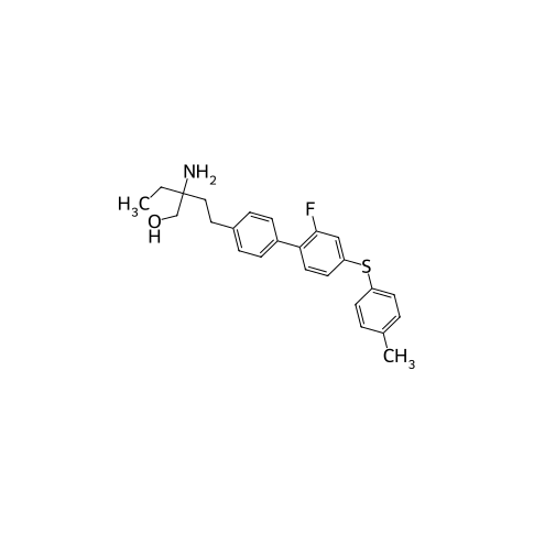 CCC(N)(CO)CCc1ccc(-c2ccc(Sc3ccc(C)cc3)cc2F)cc1